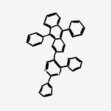 c1ccc(-c2ncc(-c3ccc4c(-c5ccccc5)c5ccccc5c(-c5ccccc5)c4c3)c(-c3ccccc3)n2)cc1